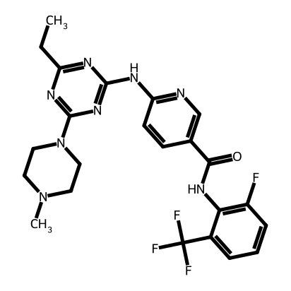 CCc1nc(Nc2ccc(C(=O)Nc3c(F)cccc3C(F)(F)F)cn2)nc(N2CCN(C)CC2)n1